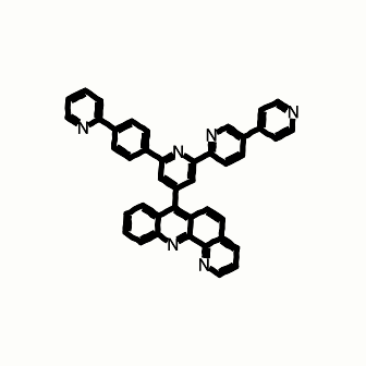 c1ccc(-c2ccc(-c3cc(-c4c5ccccc5nc5c4ccc4cccnc45)cc(-c4ccc(-c5ccncc5)cn4)n3)cc2)nc1